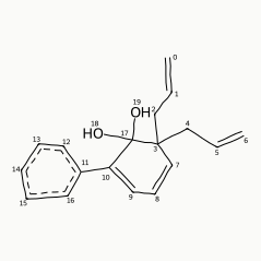 C=CCC1(CC=C)C=CC=C(c2ccccc2)C1(O)O